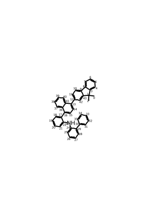 CC1(C)c2ccccc2-c2ccc(-c3ccc(-c4ccccc4Nc4ccccc4-c4ccccc4)c4ccccc34)cc21